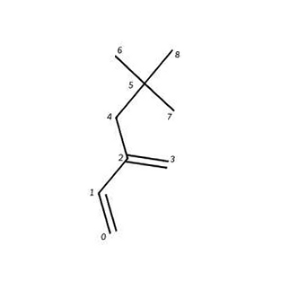 C=CC(=C)CC(C)(C)C